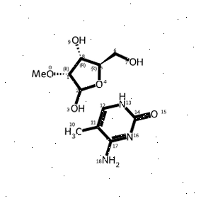 CO[C@H]1C(O)O[C@H](CO)[C@H]1O.Cc1c[nH]c(=O)nc1N